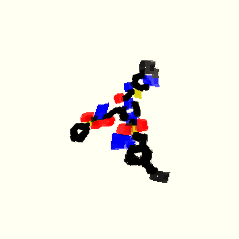 C#Cc1ccc2[nH]c(S(=O)(=O)N3CCN(C(=O)c4nc5c(s4)CNC(C)C5)C(CC(=O)NS(=O)(=O)c4ccccc4)C3)cc2c1